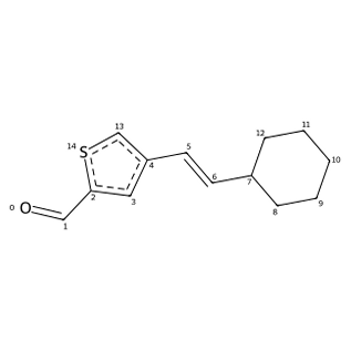 O=Cc1cc(C=CC2CCCCC2)cs1